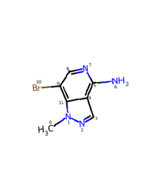 Cn1ncc2c(N)ncc(Br)c21